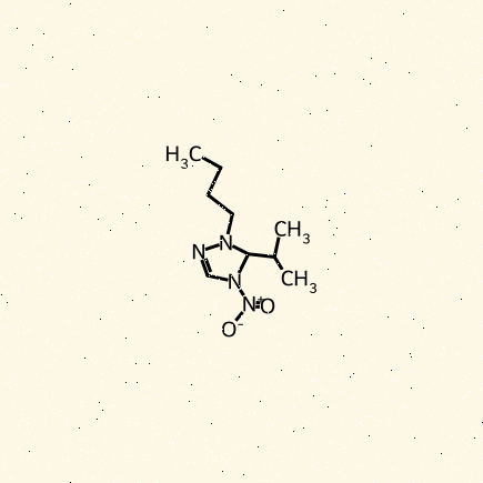 CCCCN1N=CN([N+](=O)[O-])C1C(C)C